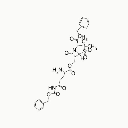 CC1(C)[C@H](C(=O)OCc2ccccc2)N2C(=O)[C@@H](COC(=O)[C@@H](N)CCC(=O)NC(=O)OCc3ccccc3)[C@H]2S1(=O)=O